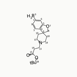 Bc1ccc2c(c1)OCC21CCN(CCC(=O)OC(C)(C)C)CC1